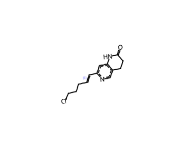 O=C1CCc2cnc(/C=C/CCCCl)cc2N1